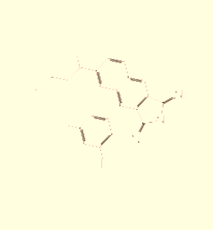 CCCC(C)c1ccc2cc3c(c(-c4cc(F)cc(F)c4)c2c1)C(=N)NC3=N